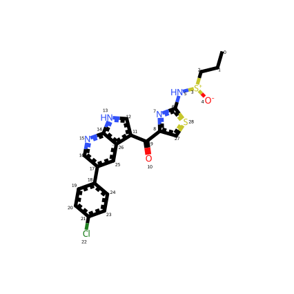 CCC[S+]([O-])Nc1nc(C(=O)c2c[nH]c3ncc(-c4ccc(Cl)cc4)cc23)cs1